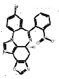 O=[N+]([O-])c1ccccc1C1=N[C@H]2Cc3ncoc3-c3ncn(c32)-c2ccc(Br)cc21